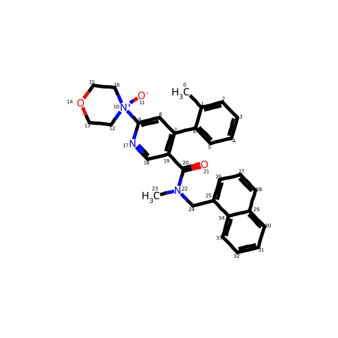 Cc1ccccc1-c1cc([N+]2([O-])CCOCC2)ncc1C(=O)N(C)Cc1cccc2ccccc12